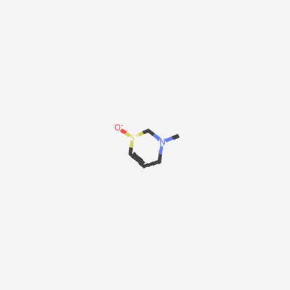 CN1CC=C[S+]([O-])C1